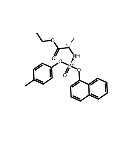 CCOC(=O)[C@H](C)N[P@@](=O)(Oc1ccc(C)cc1)Oc1cccc2ccccc12